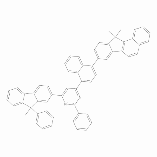 CC1(C)c2ccc(-c3ccc(-c4cc(-c5ccc6c(c5)C(C)(c5ccccc5)c5ccccc5-6)nc(-c5ccccc5)n4)c4ccccc34)cc2-c2ccc3ccccc3c21